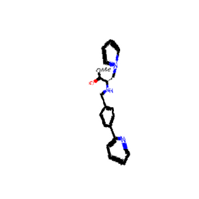 COC(=O)[C@H](Cn1cccc1)NCc1ccc(-c2ccccn2)cc1